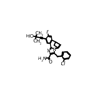 CC(C)(O)C#Cc1cc2c(cc1F)C1CC(C1)n1c-2nc(C(N)=O)c1Cc1ccccc1Cl